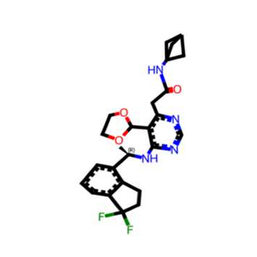 C[C@@H](Nc1ncnc(CC(=O)NC23CC(C2)C3)c1C1OCCO1)c1cccc2c1CCC2(F)F